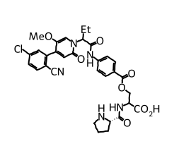 CCC(C(=O)Nc1ccc(C(=O)OCC(NC(=O)[C@@H]2CCCN2)C(=O)O)cc1)n1cc(OC)c(-c2cc(Cl)ccc2C#N)cc1=O